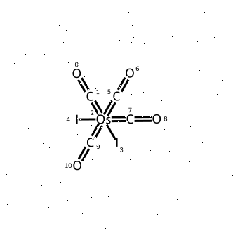 O=[C]=[Os]([I])([I])(=[C]=O)(=[C]=O)=[C]=O